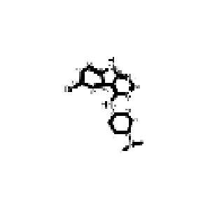 CN(C)[C@H]1CC[C@H](Nc2ncnc3[nH]c4ccc(Br)cc4c23)CC1